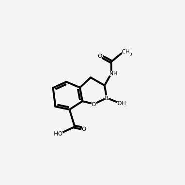 CC(=O)NC1Cc2cccc(C(=O)O)c2OB1O